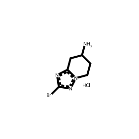 Cl.NC1CCn2nc(Br)nc2C1